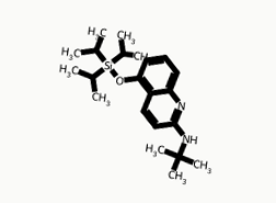 CC(C)[Si](Oc1cccc2nc(NC(C)(C)C)ccc12)(C(C)C)C(C)C